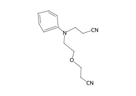 N#CCCOCCN(CCC#N)c1ccccc1